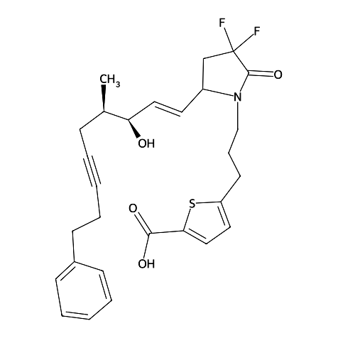 C[C@H](CC#CCCc1ccccc1)[C@H](O)C=CC1CC(F)(F)C(=O)N1CCCc1ccc(C(=O)O)s1